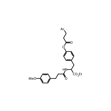 CCOC(=O)C(Cc1ccc(OC(=O)CCC(C)=O)cc1)NC(=O)CCc1ccc(OC)cc1